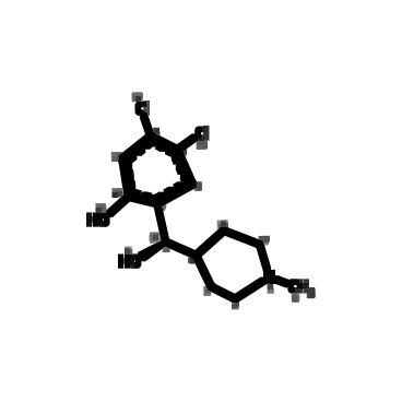 CN1CCC([C@@H](O)c2cc(Cl)c(Cl)cc2O)CC1